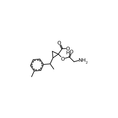 Cc1cccc(C(C)C2CC2(OC(=O)CN)C(=O)O)c1